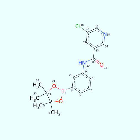 CC1(C)OB(c2cccc(NC(=O)c3cncc(Cl)c3)c2)OC1(C)C